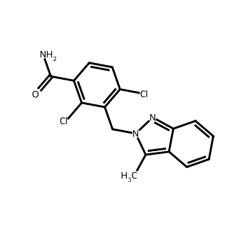 Cc1c2ccccc2nn1Cc1c(Cl)ccc(C(N)=O)c1Cl